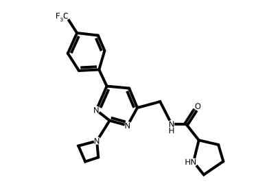 O=C(NCc1cc(-c2ccc(C(F)(F)F)cc2)nc(N2CCC2)n1)C1CCCN1